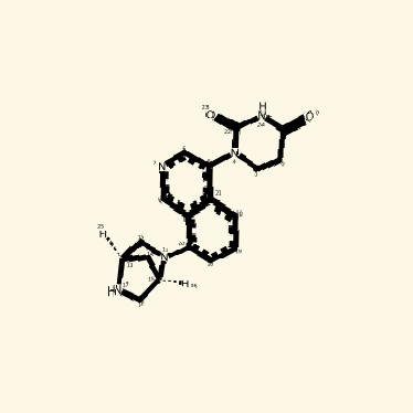 O=C1CCN(c2cncc3c(N4C[C@H]5C[C@@H]4CN5)cccc23)C(=O)N1